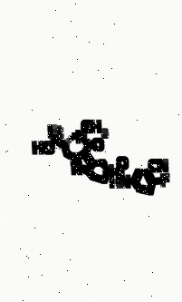 CC[C@@H](O)[C@@H]1CN(C)C(=O)c2c3c(nn2C1)CCN(C(=O)Nc1ccc(F)c(C#N)c1)C3